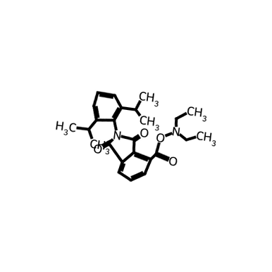 CCN(CC)OC(=O)c1cccc2c1C(=O)N(c1c(C(C)C)cccc1C(C)C)C2=O